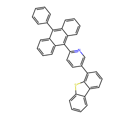 c1ccc(-c2c3ccccc3c(-c3ccc(-c4cccc5c4sc4ccccc45)cn3)c3ccccc23)cc1